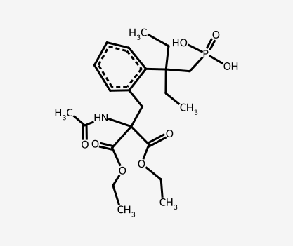 CCOC(=O)C(Cc1ccccc1C(CC)(CC)CP(=O)(O)O)(NC(C)=O)C(=O)OCC